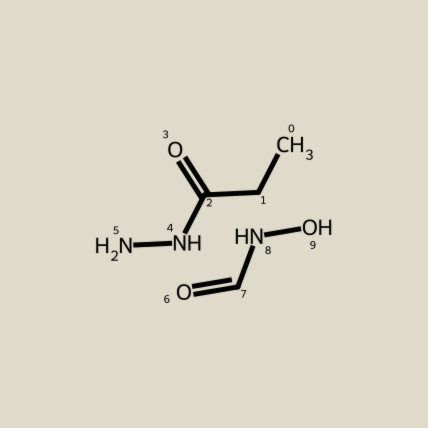 CCC(=O)NN.O=CNO